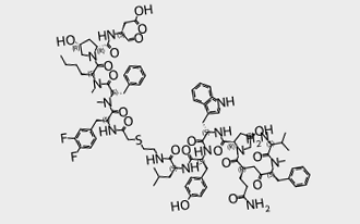 CCCC[C@@H](C(=O)N1C[C@H](O)C[C@@H]1C(=O)N[C@H](C=O)CC(=O)O)N(C)C(=O)[C@H](Cc1ccccc1)N(C)C(=O)[C@H](Cc1ccc(F)c(F)c1)NC(=O)CSCCNC(=O)[C@H](CC(C)C)NC(=O)[C@H](Cc1ccc(O)cc1)NC(=O)[C@H](Cc1c[nH]c2ccccc12)NC(=O)[C@H]1C[C@@H](O)CN1C(=O)[C@H](CCC(N)=O)CC(=O)[C@H](Cc1ccccc1)N(C)C(=O)[C@@H](N)C(C)C